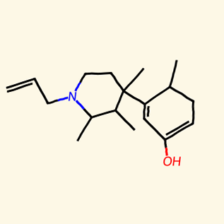 C=CCN1CCC(C)(C2=CC(O)=CCC2C)C(C)C1C